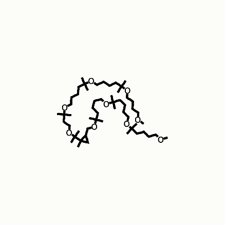 COCCCCOC(C)(C)CCCCOC(C)(C)CCCCOC(C)(C)CCOC(C)(C)C1(C)CC1COC(C)(C)CCCCOC(C)(C)CCCCOC(C)(C)CCCCOC